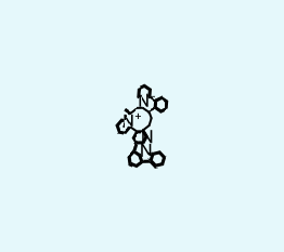 C=C1CC2C(CCc3nc4c(cc3-c3cccc[n+]31)c1cccc3c5ccccc5n4c31)c1ccccc1-c1cccc[n+]12